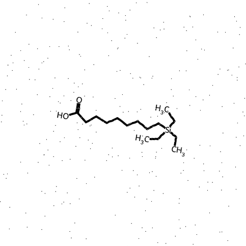 CC[Si](CC)(CC)CCCCCCCCC(=O)O